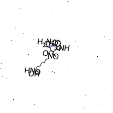 C/C=C(/C1=C(c2c[nH]c3ccccc23)C(=O)N(CCCCCCC(=O)NO)C1=O)c1ccccc1N